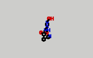 O=C1CC(c2ccccc2-c2ccncc2)CC(=O)C1=CNCCN1CCN(CCO)CC1